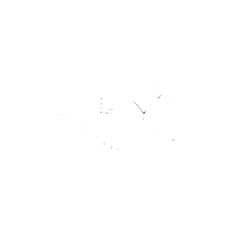 CCC(C)C(=O)[O-].CCC(C)C(=O)[O-].[Co+2]